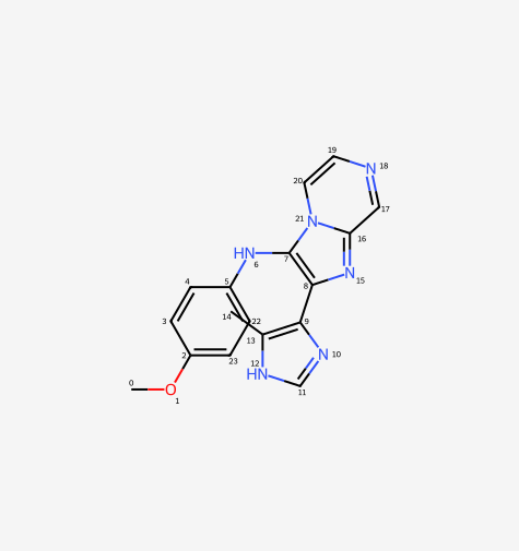 COc1ccc(Nc2c(-c3nc[nH]c3C)nc3cnccn23)cc1